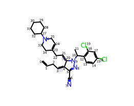 C=CC/C=c1/c(C#N)nn(C(C)c2ccc(Cl)cc2Cl)/c1=C/CC1=CCN(C2CCCCC2)CC1